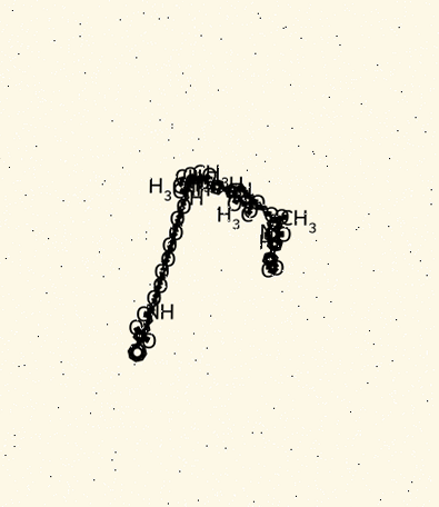 COc1cc2c(cc1OCCCOc1cc3c(cc1OC)C(=O)N1C=C(c4ccc(NC(=O)[C@H](C)NC(=O)C(NC(=O)CCOCCOCCOCCOCCOCCOCCOCCOCCNC(=O)CC/C=C5\C(=O)CC(C6CCCCCCC6)C5=O)C(C)C)cc4)C[C@H]1C=N3)N=C[C@@H]1CC(c3ccc4c(c3)OCO4)=CC=C1C2=O